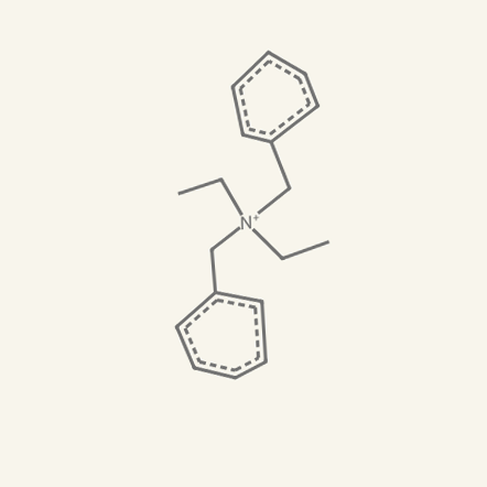 CC[N+](CC)(Cc1ccccc1)Cc1ccccc1